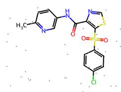 Cc1ccc(NC(=O)c2ncsc2S(=O)(=O)c2ccc(Cl)cc2)cn1